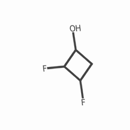 OC1CC(F)C1F